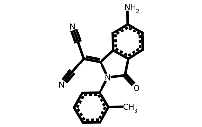 Cc1ccccc1N1C(=O)c2ccc(N)cc2C1=C(C#N)C#N